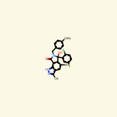 COc1ccc(CN2C(=O)c3c(c([N+](=O)[O-])cc4c(C#N)n[nH]c34)C2(O)c2cc(F)ccc2Cl)cc1